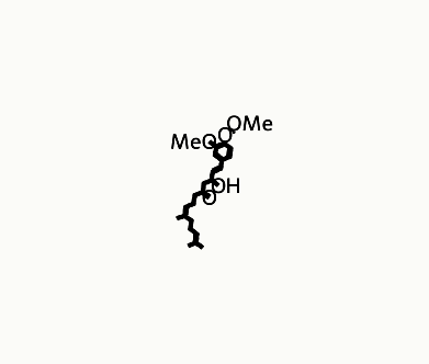 COCOc1ccc(C=CC(O)CC(=O)CCC=C(C)CCC=C(C)C)cc1OC